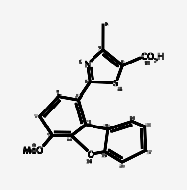 COc1ccc(-c2nc(C)c(C(=O)O)s2)c2c1oc1ccccc12